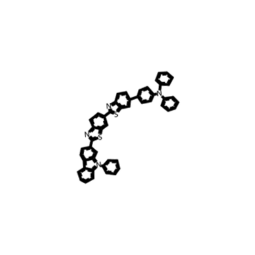 c1ccc(N(c2ccccc2)c2ccc(-c3ccc4nc(-c5ccc6nc(-c7ccc8c9ccccc9n(-c9ccccc9)c8c7)sc6c5)sc4c3)cc2)cc1